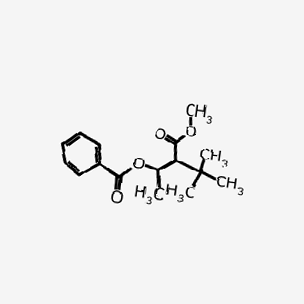 COC(=O)C(C(C)OC(=O)c1ccccc1)C(C)(C)C